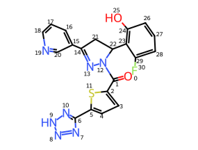 O=C(c1ccc(-c2nn[nH]n2)s1)N1N=C(c2cccnc2)CC1c1c(O)cccc1F